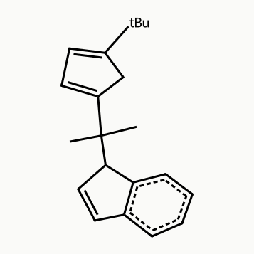 CC(C)(C)C1=CC=C(C(C)(C)C2C=Cc3ccccc32)C1